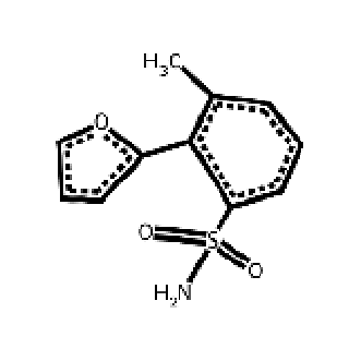 Cc1cccc(S(N)(=O)=O)c1-c1ccco1